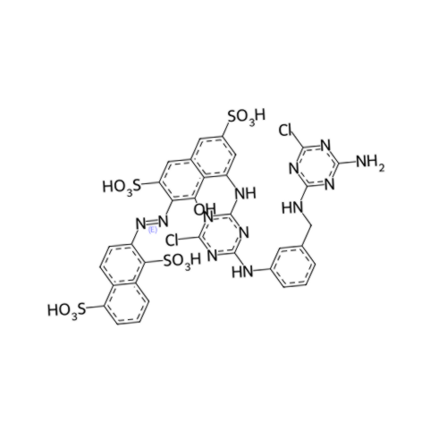 Nc1nc(Cl)nc(NCc2cccc(Nc3nc(Cl)nc(Nc4cc(S(=O)(=O)O)cc5cc(S(=O)(=O)O)c(/N=N/c6ccc7c(S(=O)(=O)O)cccc7c6S(=O)(=O)O)c(O)c45)n3)c2)n1